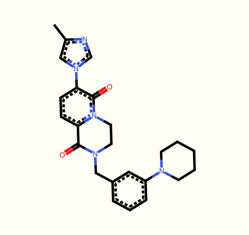 Cc1cn(-c2ccc3n(c2=O)CCN(Cc2cccc(N4CCCCC4)c2)C3=O)cn1